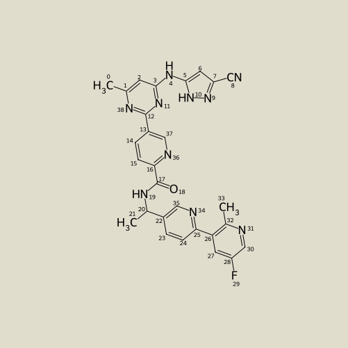 Cc1cc(Nc2cc(C#N)n[nH]2)nc(-c2ccc(C(=O)NC(C)c3ccc(-c4cc(F)cnc4C)nc3)nc2)n1